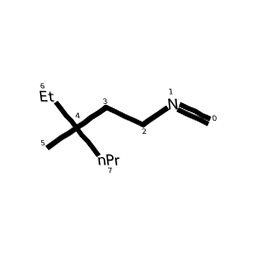 C=NCCC(C)(CC)CCC